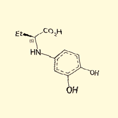 CC[C@H](Nc1ccc(O)c(O)c1)C(=O)O